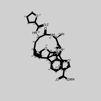 COC(=O)c1coc(-c2nc3oc2C24c5ccccc5NC2Oc2ccc(cc24)C[C@H](NC(=O)C2CCCO2)C(=O)N[C@H]3C(C)C)n1